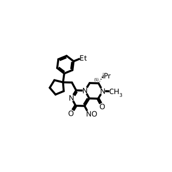 CCc1cccc(C2(Cc3nc(=O)c(N=O)c4n3C[C@H](C(C)C)N(C)C4=O)CCCC2)c1